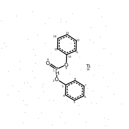 O=[PH](Oc1ccccc1)Oc1ccccc1.[Ti]